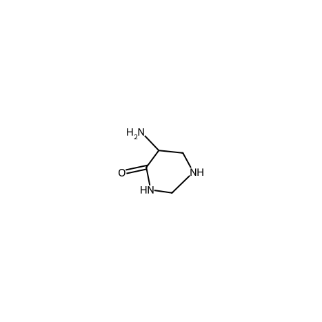 NC1CNCNC1=O